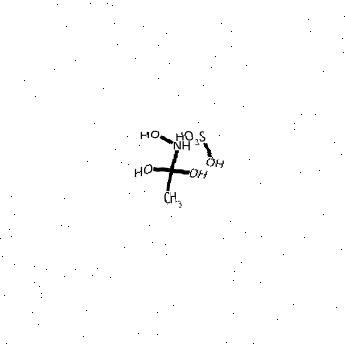 CC(O)(O)NO.O=S(=O)(O)O